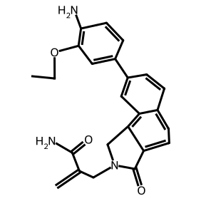 C=C(CN1Cc2c(ccc3ccc(-c4ccc(N)c(OCC)c4)cc23)C1=O)C(N)=O